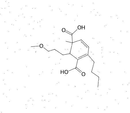 CCCCC1=C(C(=O)O)C(CCCOC)C(C)(C(=O)O)C=C1